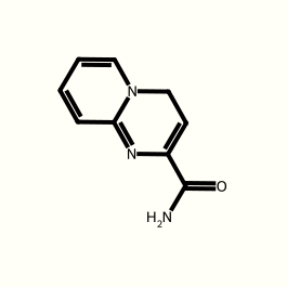 NC(=O)C1=CCN2C=CC=CC2=N1